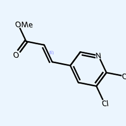 COC(=O)/C=C/c1cnc(Cl)c(Cl)c1